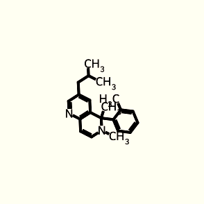 Cc1ccccc1C1(C)c2cc(CC(C)C)cnc2C=CN1C